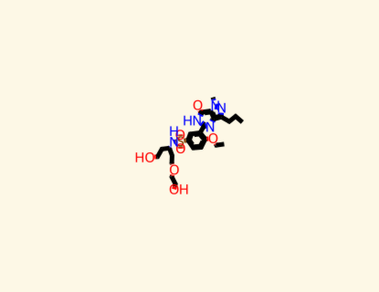 CCCc1nn(C)c2c(=O)[nH]c(-c3cc(S(=O)(=O)NC(CCO)CCOCCO)ccc3OCC)nc12